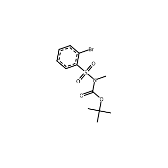 CN(C(=O)OC(C)(C)C)S(=O)(=O)c1ccccc1Br